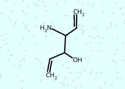 C=C[C](N)C(O)C=C